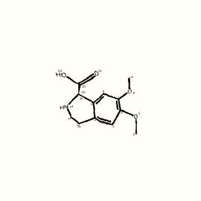 COc1cc2c(cc1OC)[C@H](C(=O)O)NCC2